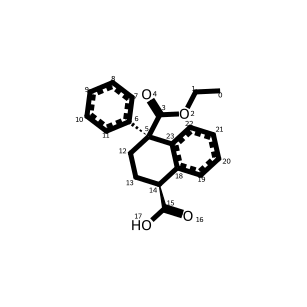 CCOC(=O)[C@]1(c2ccccc2)CC[C@H](C(=O)O)c2ccccc21